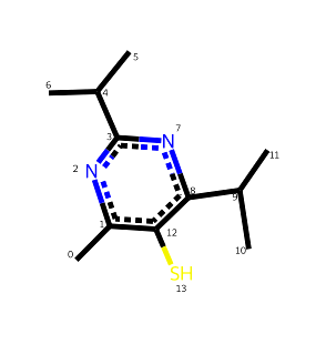 Cc1nc(C(C)C)nc(C(C)C)c1S